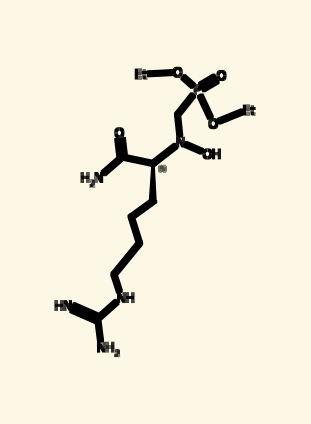 CCOP(=O)(CN(O)[C@@H](CCCCNC(=N)N)C(N)=O)OCC